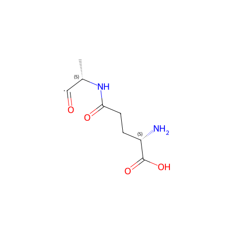 C[C@@H]([C]=O)NC(=O)CC[C@H](N)C(=O)O